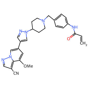 C=CC(=O)Nc1ccc(CN2CCC(n3cc(-c4cc(OC)c5c(C#N)cnn5c4)cn3)CC2)cc1